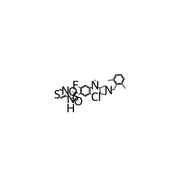 Cc1cccc(C)c1CN1CCC(N(C)c2cc(F)c(S(=O)(=O)Nc3cscn3)cc2Cl)C1